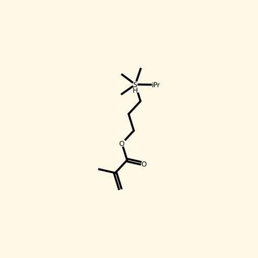 C=C(C)C(=O)OCCC[SH](C)(C)(C)C(C)C